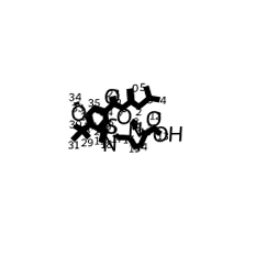 C=C(CC(C)C)C(OCN1C(C(=O)O)CCC1c1nccs1)C(=O)c1ccc(C(C)(C)C)c(OC)c1